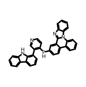 c1ccc2c(c1)nc1c3cc(Pc4ccncc4-c4cccc5c4[nH]c4ccccc45)ccc3c3ccccc3n21